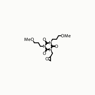 COCCCn1c(=O)n(CCCOC)c(=O)n(CC2CO2)c1=O